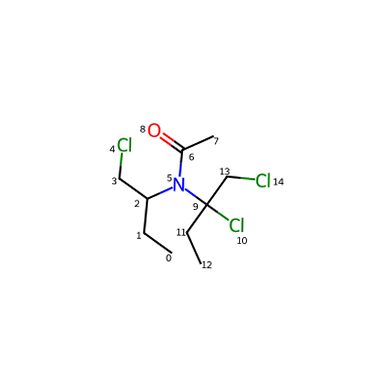 CCC(CCl)N(C(C)=O)C(Cl)(CC)CCl